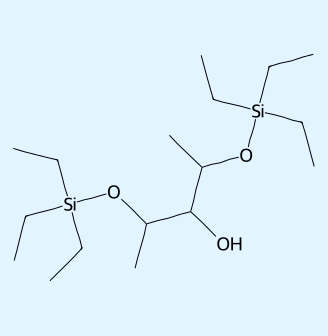 CC[Si](CC)(CC)OC(C)C(O)C(C)O[Si](CC)(CC)CC